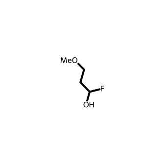 COCCC(O)F